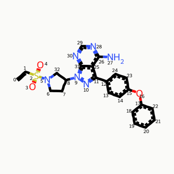 C=CS(=O)(=O)N1CCC(n2nc(-c3ccc(Oc4ccccc4)cc3)c3c(N)ncnc32)C1